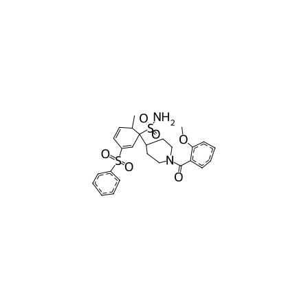 COc1ccccc1C(=O)N1CCC(C2(S(N)(=O)=O)C=C(S(=O)(=O)c3ccccc3)C=CC2C)CC1